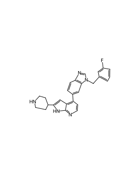 Fc1cccc(Cn2cnc3ccc(-c4ccnc5[nH]c(C6CCNCC6)cc45)cc32)c1